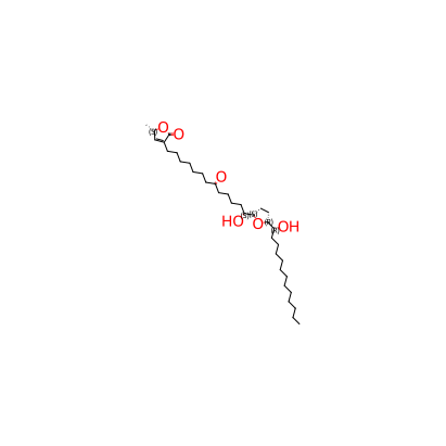 CCCCCCCCCCCC[C@@H](O)[C@H]1CC[C@@H]([C@@H](O)CCCCC(=O)CCCCCCCC2=C[C@H](C)OC2=O)O1